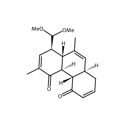 COC(OC)[C@@H]1C=C(C)C(=O)[C@@H]2[C@H]3C(=O)C=CC[C@@H]3C=C(C)[C@H]21